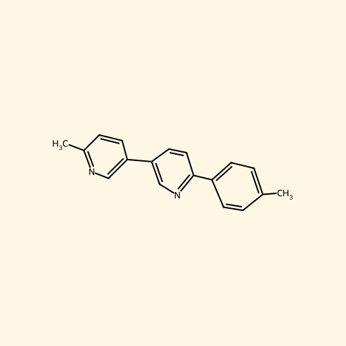 Cc1ccc(-c2ccc(-c3ccc(C)nc3)cn2)cc1